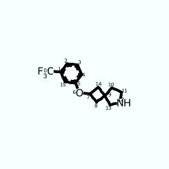 FC(F)(F)c1cccc(OC2CC3(CCNC3)C2)c1